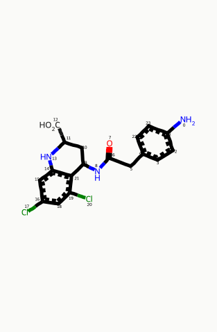 Nc1ccc(CC(=O)NC2CC(C(=O)O)Nc3cc(Cl)cc(Cl)c32)cc1